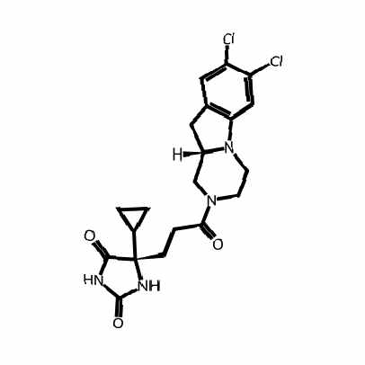 O=C1NC(=O)[C@](CCC(=O)N2CCN3c4cc(Cl)c(Cl)cc4C[C@H]3C2)(C2CC2)N1